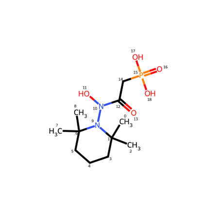 CC1(C)CCCC(C)(C)N1N(O)C(=O)CP(=O)(O)O